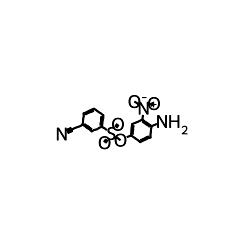 N#Cc1cccc(S(=O)(=O)Oc2ccc(N)c([N+](=O)[O-])c2)c1